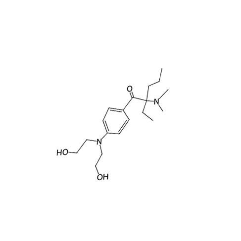 CCCC(CC)(C(=O)c1ccc(N(CCO)CCO)cc1)N(C)C